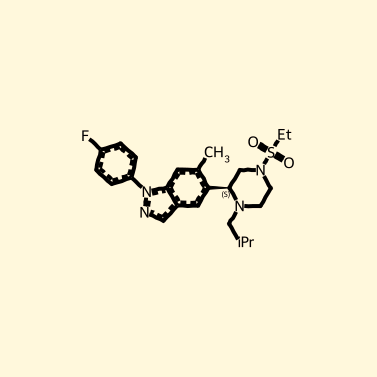 CCS(=O)(=O)N1CCN(CC(C)C)[C@@H](c2cc3cnn(-c4ccc(F)cc4)c3cc2C)C1